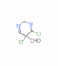 O=CC1(Cl)C=NCN=C1Cl